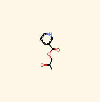 CC(=O)COC(=O)c1cccnc1